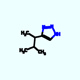 CC(C)C(C)c1c[nH]nn1